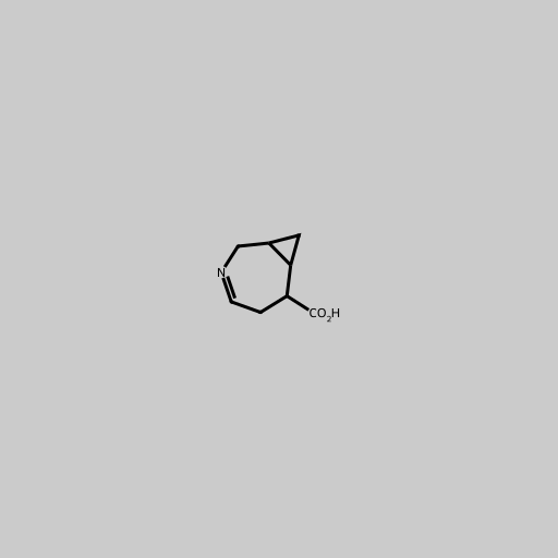 O=C(O)C1CC=NCC2CC21